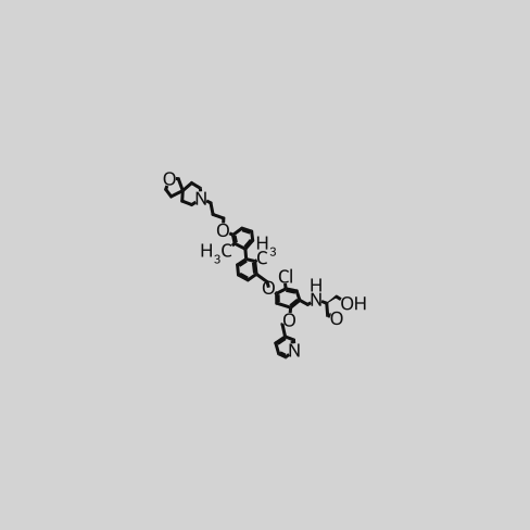 Cc1c(COc2cc(OCc3cccnc3)c(CN[C@H](C=O)CO)cc2Cl)cccc1-c1cccc(OCCCN2CCC3(CCOC3)CC2)c1C